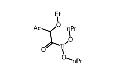 CCC[O][Ti]([O]CCC)[C](=O)C(OCC)C(C)=O